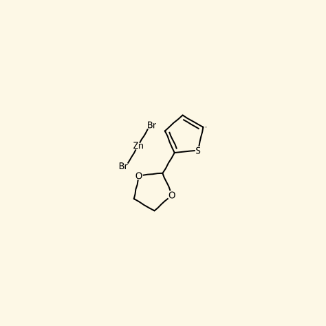 [Br][Zn][Br].[c]1ccc(C2OCCO2)s1